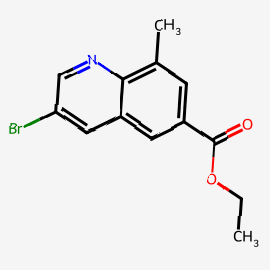 CCOC(=O)c1cc(C)c2ncc(Br)cc2c1